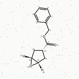 O=C(OCc1ccccc1)[C@@H]1C[C@@H]2O[C@@H]2C1